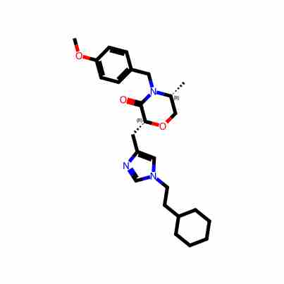 COc1ccc(CN2C(=O)[C@@H](Cc3cn(CCC4CCCCC4)cn3)OC[C@H]2C)cc1